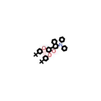 CC(C)(C)c1ccc2c(c1)B1c3cc(C(C)(C)C)ccc3Oc3c1c(cc1c3oc3cc(N(c4ccccc4)c4ccccc4)c4ccccc4c31)O2